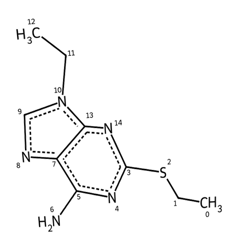 CCSc1nc(N)c2ncn(CC)c2n1